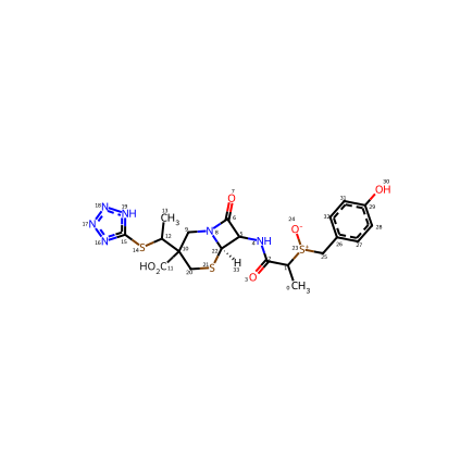 CC(C(=O)NC1C(=O)N2CC(C(=O)O)(C(C)Sc3nnn[nH]3)CS[C@H]12)[S+]([O-])Cc1ccc(O)cc1